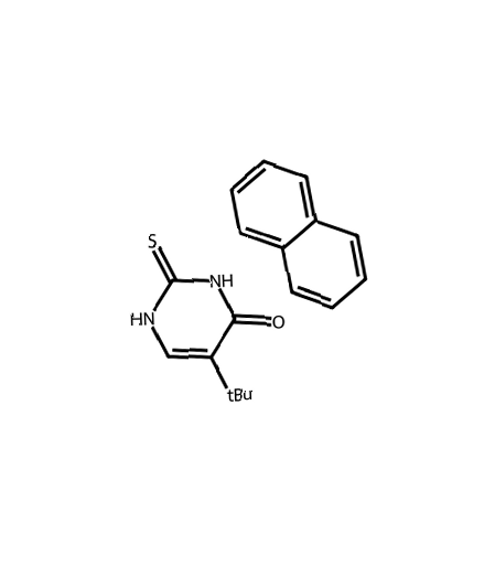 CC(C)(C)c1c[nH]c(=S)[nH]c1=O.c1ccc2ccccc2c1